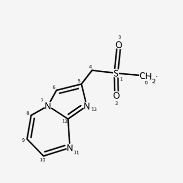 [CH2]S(=O)(=O)Cc1cn2cccnc2n1